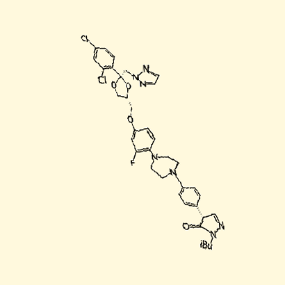 CCC(C)N1N=C[C@@H](c2ccc(N3CCN(c4ccc(OC[C@@H]5CO[C@@](Cn6nccn6)(c6ccc(Cl)cc6Cl)O5)cc4F)CC3)cc2)C1=O